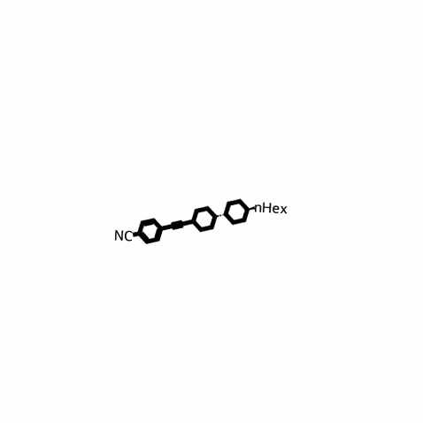 CCCCCC[C@H]1CC[C@H](C2CCC(C#Cc3ccc(C#N)cc3)CC2)CC1